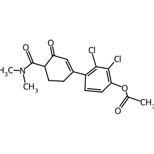 CC(=O)Oc1ccc(C2=CC(=O)C(C(=O)N(C)C)CC2)c(Cl)c1Cl